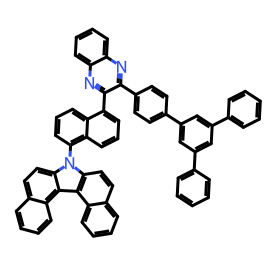 c1ccc(-c2cc(-c3ccccc3)cc(-c3ccc(-c4nc5ccccc5nc4-c4cccc5c(-n6c7ccc8ccccc8c7c7c8ccccc8ccc76)cccc45)cc3)c2)cc1